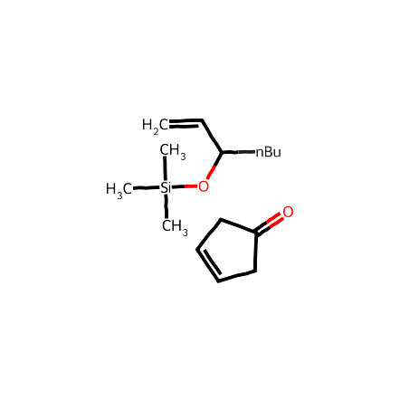 C=CC(CCCC)O[Si](C)(C)C.O=C1CC=CC1